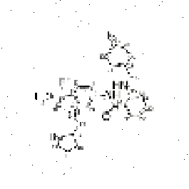 O=C(Nc1ccc(C(F)(F)C(F)(F)F)c(OCC2CCCN2)c1)c1cccnc1NCc1ccc(F)cc1